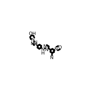 N#Cc1cc(-c2ccnc(Nc3ccc(-n4cnc(N5CCC(O)CC5)n4)cc3)n2)cc(N2CCOCC2)c1